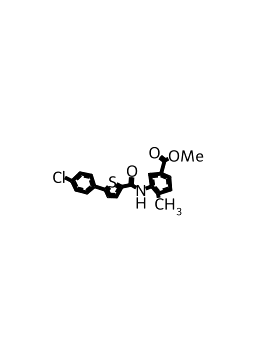 COC(=O)c1ccc(C)c(NC(=O)c2ccc(-c3ccc(Cl)cc3)s2)c1